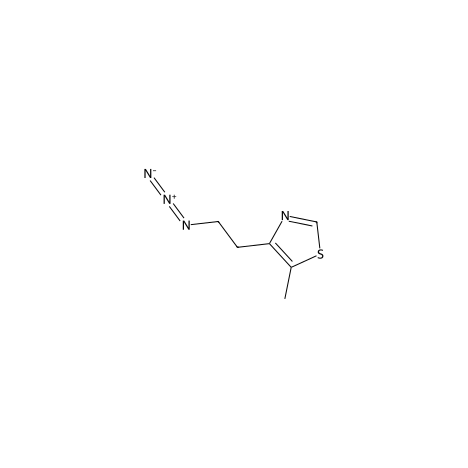 Cc1scnc1CCN=[N+]=[N-]